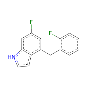 Fc1cc(Cc2ccccc2F)c2cc[nH]c2c1